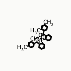 Cc1ccc(C(=O)c2ccccc2[PH](=O)c2ccccc2C(=O)c2ccc(C)cc2C)c(C)c1